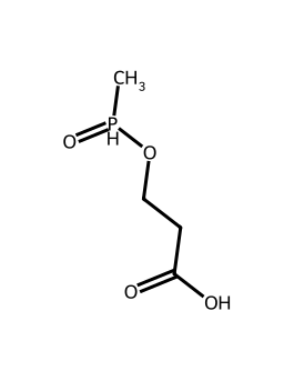 C[PH](=O)OCCC(=O)O